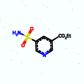 CCOC(=O)c1cncc(S(N)(=O)=O)c1